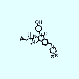 C=N/C(=N\c1c(C)c2ccc(CN3CCS(=O)(=O)CC3)cc2c(=O)n1C1CCC(O)CC1)NCC1CC1